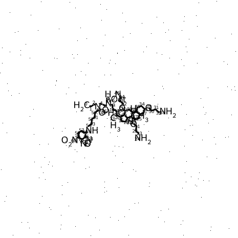 C=CCN(CC(=O)N(CCCCCCCC)CCCC(C)C1CC[C@H]2C3[C@H](OCCCN)CC4C[C@H](OCCCN)CCC4(C)[C@H]3C[C@H](OCCCN)C12C)C(=O)CCCCCNc1ccc([N+](=O)[O-])c2nonc12